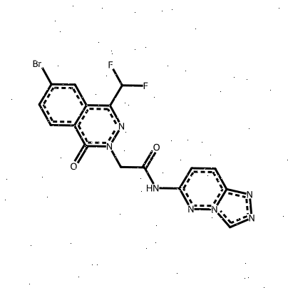 O=C(Cn1nc(C(F)F)c2cc(Br)ccc2c1=O)Nc1ccc2nncn2n1